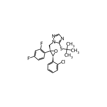 CC(C)(C)Sc1ncnn1C[C@@]1(c2ccc(F)cc2F)O[C@H]1c1ccccc1Cl